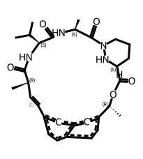 CC(C)[C@@H]1NC(=O)[C@H](C)/C=C/c2ccc3ccc(cc3c2)[C@@H](C)OC(=O)[C@@H]2CCCN(N2)C(=O)[C@H](C)NC1=O